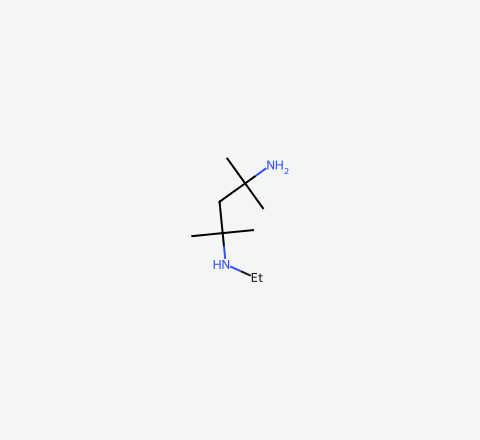 CCNC(C)(C)CC(C)(C)N